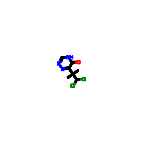 CC(C)(c1nnc[nH]c1=O)C(Cl)Cl